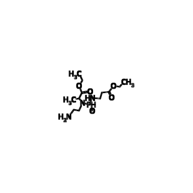 CCOC(=O)CCN[PH](=O)N(CCN)C(C)C(=O)OCC